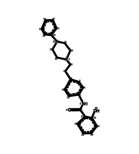 O=C(Nc1ccc(CCN2CCN(c3ccccc3)CC2)cc1)c1ccccc1O